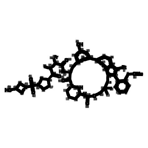 CCn1c(-c2cnccc2COC)c2c3cc(ccc31)-c1cc(O)cc(c1)C[C@H](NC(=O)C(C(C)C)N(C)C(=O)[C@H]1CCN(S(=O)(=O)N3CC(O)C3)C1)C(=O)N1CCC[C@H](N1)C(=O)OCC(C)(C)C2